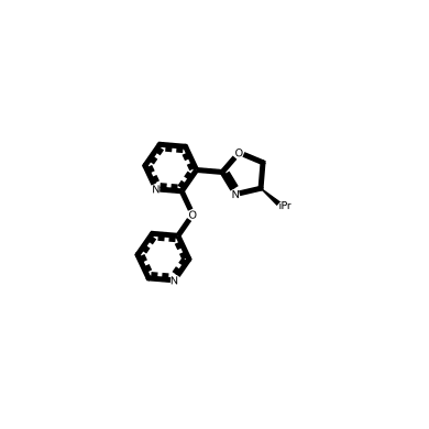 CC(C)[C@@H]1COC(c2cccnc2Oc2cccnc2)=N1